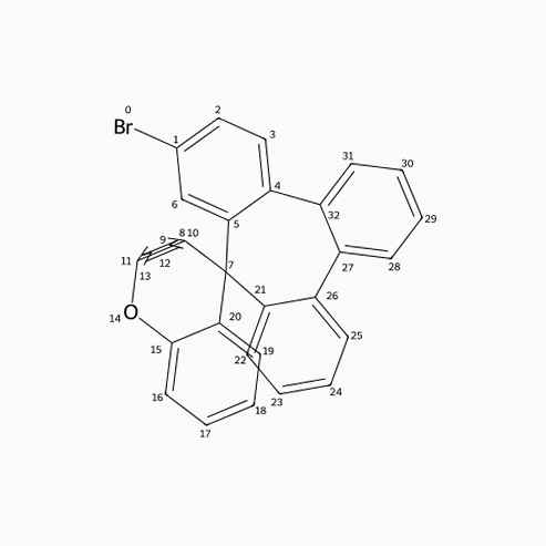 Brc1ccc2c(c1)C1(c3ccccc3Oc3ccccc31)c1ccccc1-c1ccccc1-2